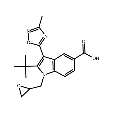 Cc1noc(-c2c(C(C)(C)C)n(CC3CO3)c3ccc(C(=O)O)cc23)n1